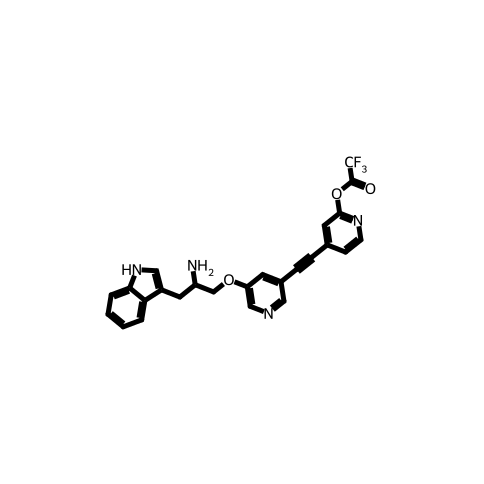 NC(COc1cncc(C#Cc2ccnc(OC(=O)C(F)(F)F)c2)c1)Cc1c[nH]c2ccccc12